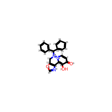 O=c1ccn2c(c1O)-c1ncoc1CN2C(c1ccccc1)c1ccccc1